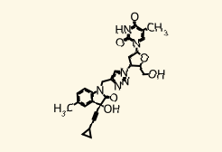 Cc1ccc2c(c1)[C@@](O)(C#CC1CC1)C(=O)N2Cc1cn(C2CC(n3cc(C)c(=O)[nH]c3=O)OC2CO)nn1